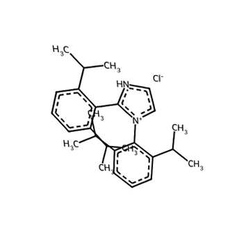 CC(C)c1cccc(C(C)C)c1-c1[nH]cc[n+]1-c1c(C(C)C)cccc1C(C)C.[Cl-]